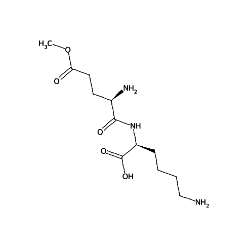 COC(=O)CC[C@@H](N)C(=O)N[C@@H](CCCCN)C(=O)O